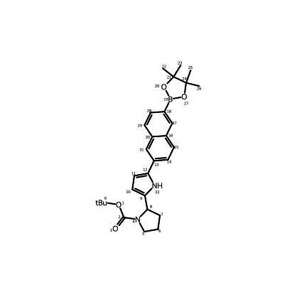 CC(C)(C)OC(=O)N1CCCC1c1ccc(-c2ccc3cc(B4OC(C)(C)C(C)(C)O4)ccc3c2)[nH]1